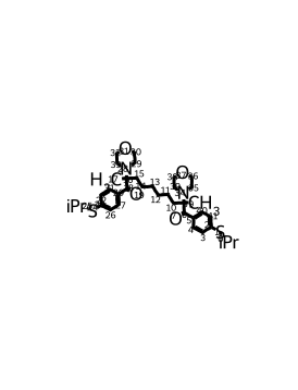 CC(C)Sc1ccc(C(=O)C(C)(CCCCCCC(C)(C(=O)c2ccc(SC(C)C)cc2)N2CCOCC2)N2CCOCC2)cc1